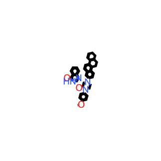 COc1ccc(N2CCN(c3ccc4c5c(ccc4c3)C3=C(CCC=C3)CC5)CC2=O)cc1.O=c1[nH]cnc2ccccc12